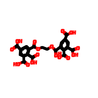 O=C(O)c1cc(C(=O)O)c(C(=O)O)c(C(=O)OCCOC(=O)c2cc(C(=O)O)cc(C(=O)O)c2C(=O)O)c1